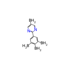 Bc1cnc(-c2cc(B)c(B)c(B)c2)nc1